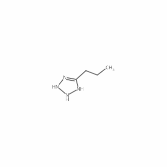 CCCC1=NNNN1